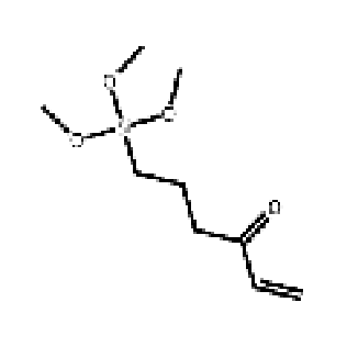 C=CC(=O)CCC[Si](OC)(OC)OC